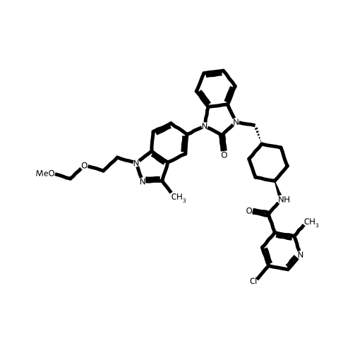 COCOCCn1nc(C)c2cc(-n3c(=O)n(C[C@H]4CC[C@H](NC(=O)c5cc(Cl)cnc5C)CC4)c4ccccc43)ccc21